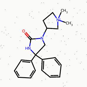 C[N+]1(C)CCC(N2CC(c3ccccc3)(c3ccccc3)NC2=O)C1